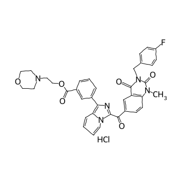 Cl.Cn1c(=O)n(Cc2ccc(F)cc2)c(=O)c2cc(C(=O)c3nc(-c4cccc(C(=O)OCCN5CCOCC5)c4)c4ccccn34)ccc21